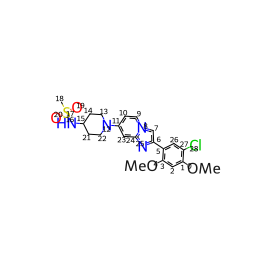 COc1cc(OC)c(-c2cn3ccc(N4CCC(NS(C)(=O)=O)CC4)cc3n2)cc1Cl